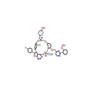 O=C(O)[C@H]1Cc2cc(ccc2OCc2ccnc(-c3ccccc3OO)n2)OC[C@@H](CN2CCN(O)CC2)Oc2ccc(cc2Cl)-c2c(-c3ccc(F)cc3)oc3ncnc(c23)O1